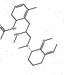 C/C=C1/CCC[C@H](N(C)CC(CC2=C(C)C=CCC2NC(C)=O)NC)/C1=N/C